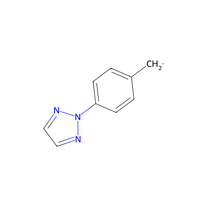 [CH2]c1ccc(-n2nccn2)cc1